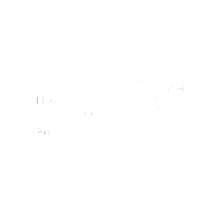 CC(COc1ccc(S(C)(=O)=O)cc1)CC(C)(C)C